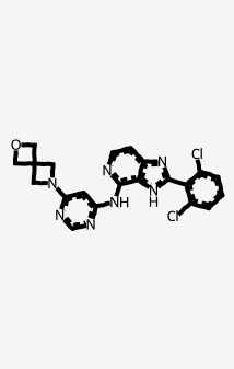 Clc1cccc(Cl)c1-c1nc2ccnc(Nc3cc(N4CC5(COC5)C4)ncn3)c2[nH]1